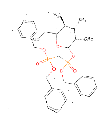 CC(=O)OCC1O[C@@H](OP(=O)(CP(=O)(OCc2ccccc2)OCc2ccccc2)OCc2ccccc2)C(OC(C)=O)[C@@H](C)[C@@H]1C